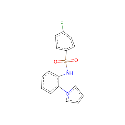 O=S(=O)(Nc1ccccc1-n1cccc1)c1ccc(F)cc1